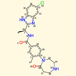 Cc1cc(C(=O)N[C@@H](C)c2nc3cc(Cl)ccc3[nH]2)ccc1N1CCNCCC1=O